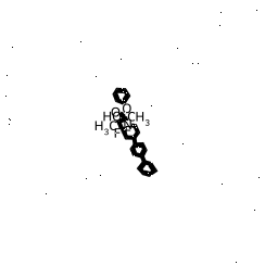 CC(O)(C(F)F)C(C)(C(=O)Oc1ccccc1)N1CCC(c2ccc(-c3ccccc3)cc2)CC1